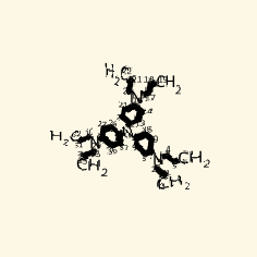 C=CCN(CC=C)c1ccc(N(c2ccc(N(CC=C)CC=C)cc2)c2ccc(N(CC=C)CC=C)cc2)cc1